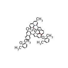 Cc1cc(C2=Cc3ccccc3[CH]2[Zr+2]2([CH]3C(c4cc(C)cc5ccccc45)=Cc4ccccc43)[CH2][CH2]2)c2ccccc2c1.Cc1cccc(C)c1[O-].Cc1cccc(C)c1[O-]